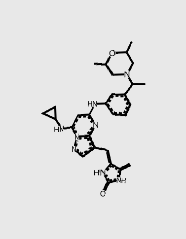 C=c1[nH]c(=O)[nH]/c1=C\c1cnn2c(NC3CC3)cc(Nc3cccc(C(C)N4CC(C)OC(C)C4)c3)nc12